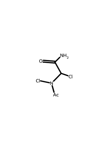 CC(=O)N(Cl)C(Cl)C(N)=O